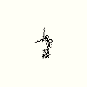 CCCCC/C=C(/CCCCCC)C(=O)N[C@H]1CCCC[C@@H]1OC(=O)CCNC(=O)C1OC(C)(C)OCC1(C)C